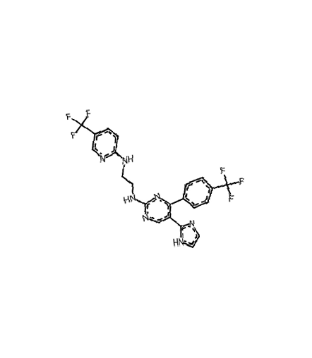 FC(F)(F)c1ccc(-c2nc(NCCNc3ccc(C(F)(F)F)cn3)ncc2-c2ncc[nH]2)cc1